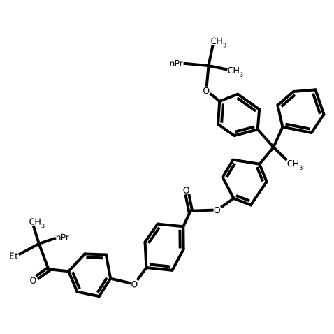 CCCC(C)(C)Oc1ccc(C(C)(c2ccccc2)c2ccc(OC(=O)c3ccc(Oc4ccc(C(=O)C(C)(CC)CCC)cc4)cc3)cc2)cc1